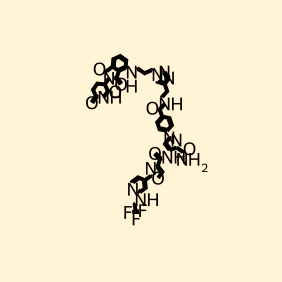 NC(=O)c1nn(-c2ccc(C(=O)NCCc3cn(CCCNc4cccc5c4C(=O)N(C4CCC(=O)NC4=O)C5=O)nn3)cc2)cc1NC(=O)c1coc(-c2ccnc(NCC(F)(F)F)c2)n1